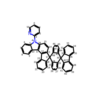 c1ccc(-n2c3ccccc3c3c4c(ccc32)C2(c3ccccc3-4)c3ccccc3C3(c4ccccc4-c4ccccc43)c3ccccc32)nc1